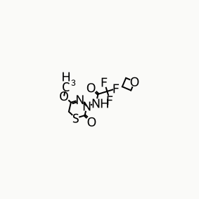 C1COC1.COC1=NN(NC(=O)C(F)(F)F)C(=O)SC1